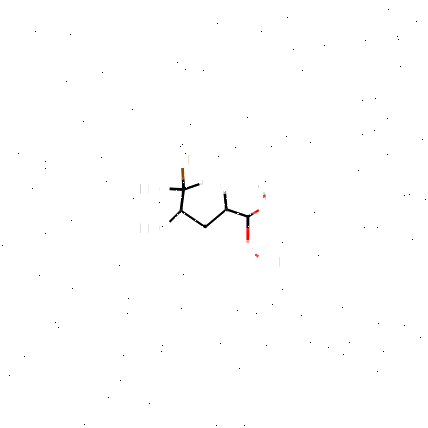 COC(OC)C(C)CC(C)C(C)(C)S